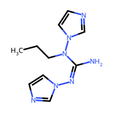 CCCN(C(N)=Nn1ccnc1)n1ccnc1